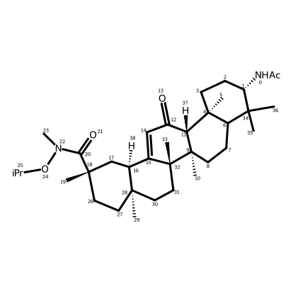 CC(=O)N[C@H]1CC[C@@]2(C)C(CC[C@]3(C)[C@@H]2C(=O)C=C2[C@@H]4C[C@@](C)(C(=O)N(C)OC(C)C)CC[C@]4(C)CC[C@]23C)C1(C)C